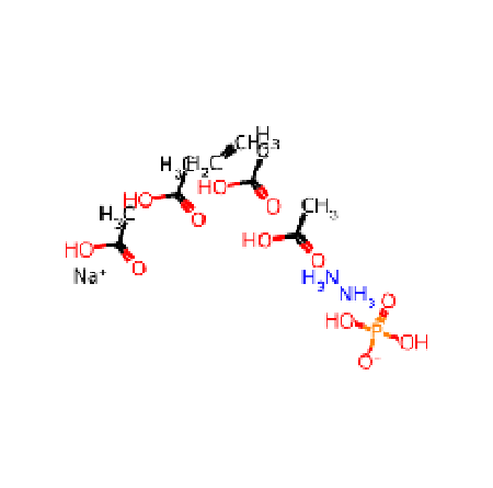 C=C.CC(=O)O.CC(=O)O.CC(=O)O.CC(=O)O.N.N.O=P([O-])(O)O.[Na+]